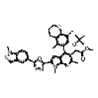 COC(=O)[C@@H](OC(C)(C)C)c1c(C)nc2c(cc(-c3nnc(-c4ccc5c(cnn5C)c4)o3)n2C)c1-c1cc(F)c2c(c1C)CCCO2